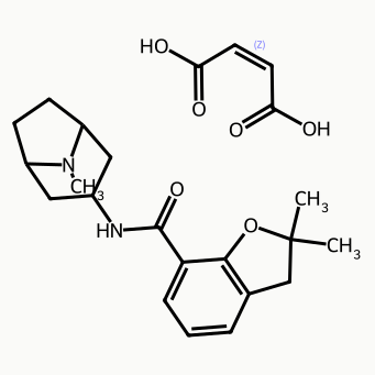 CN1C2CCC1CC(NC(=O)c1cccc3c1OC(C)(C)C3)C2.O=C(O)/C=C\C(=O)O